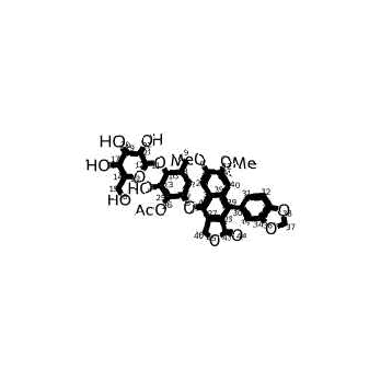 COc1cc2c(OC3CC(C)C(OC4OC(CO)C(O)C(O)C4O)C(O)C3OC(C)=O)c3c(c(-c4ccc5c(c4)OCO5)c2cc1OC)C(=O)OC3